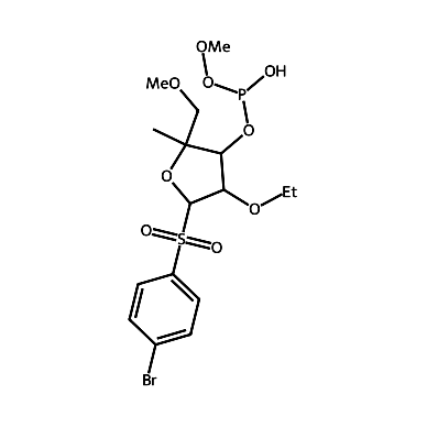 CCOC1C(OP(O)OOC)C(C)(COC)OC1S(=O)(=O)c1ccc(Br)cc1